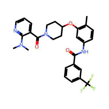 Cc1ccc(NC(=O)c2cccc(C(F)(F)F)c2)cc1OC1CCN(C(=O)c2cccnc2N(C)C)CC1